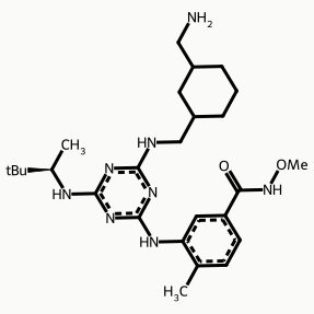 CONC(=O)c1ccc(C)c(Nc2nc(NCC3CCCC(CN)C3)nc(N[C@H](C)C(C)(C)C)n2)c1